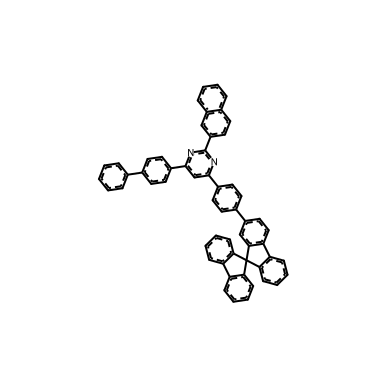 c1ccc(-c2ccc(-c3cc(-c4ccc(-c5ccc6c(c5)C5(c7ccccc7-c7ccccc75)c5ccccc5-6)cc4)nc(-c4ccc5ccccc5c4)n3)cc2)cc1